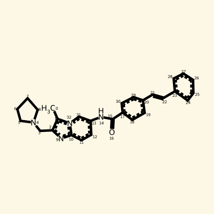 Cc1c(CN2CCCC2)nc2ccc(NC(=O)c3ccc(C=Cc4ccccc4)cc3)cn12